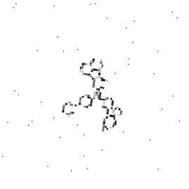 c1ccc(-c2ccc(N(c3ccc4c(c3)-c3cccc5cccc-4c35)c3ccc4oc5ccncc5c4c3)cc2)cc1